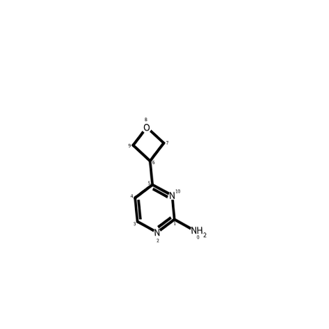 Nc1nccc(C2COC2)n1